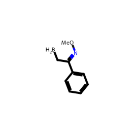 BC/C(=N\OC)c1ccccc1